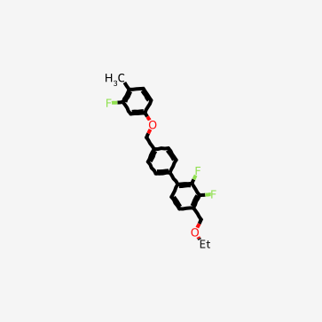 CCOCc1ccc(-c2ccc(COc3ccc(C)c(F)c3)cc2)c(F)c1F